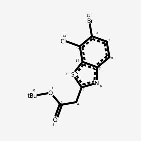 CC(C)(C)OC(=O)Cc1nc2ccc(Br)c(Cl)c2s1